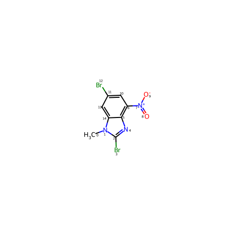 Cn1c(Br)nc2c([N+](=O)[O-])cc(Br)cc21